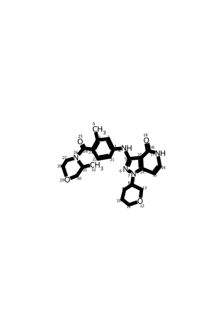 Cc1cc(Nc2nn(C3CCCOC3)c3cc[nH]c(=O)c23)ccc1C(=O)N1CCOCC1C